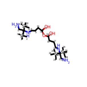 C[Si](C)(C)C(CN)(NCCCC(O)OC(O)CCCNC(CN)([Si](C)(C)C)[Si](C)(C)C)[Si](C)(C)C